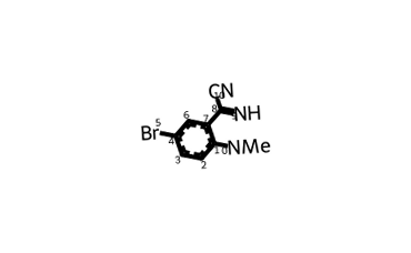 CNc1ccc(Br)cc1C(=N)C#N